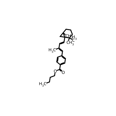 CCCCOC(=O)c1ccc(C=C(C)C=CC23CC2(C)CCCC3(C)C)cc1